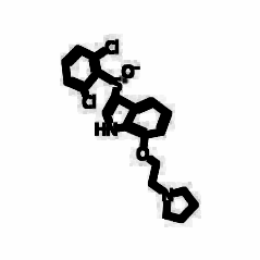 [O-][S+](c1c(Cl)cccc1Cl)c1c[nH]c2c(OCCN3CCCC3)cccc12